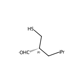 CC(C)C[C@H]([C]=O)CS